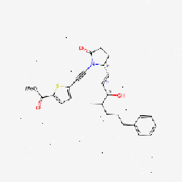 COC(=O)c1ccc(C#CN2C(=O)CC[C@@H]2/C=C/[C@@H](O)C(C)CCCc2ccccc2)s1